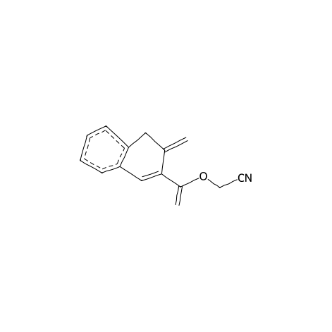 C=C1Cc2ccccc2C=C1C(=C)OCC#N